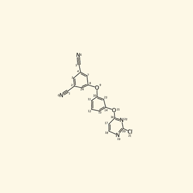 N#Cc1cc(C#N)cc(Oc2cccc(Oc3ccnc(Cl)n3)c2)c1